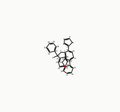 CC(Cc1c(C2=CC=CC2)ccc2c1Cc1ccccc1-2)(c1ccccc1)c1ccccc1